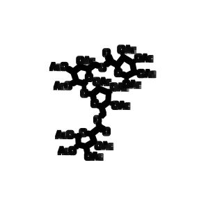 CC(=O)OC1C(OC(C)=O)[C@H](OC(C)=O)C(COC(=O)C2O[C@H](OC(C)=O)C(OC(C)=O)[C@@H](OC(C)=O)[C@H]2OC(C)=O)O[C@H]1OC1OC(COC(=O)C2O[C@H](OC(C)=O)[C@H](OC(C)=O)C(OC(C)=O)[C@H]2OC(C)=O)[C@@H](OC(C)=O)[C@H](OC(C)=O)[C@@H]1OC(C)=O